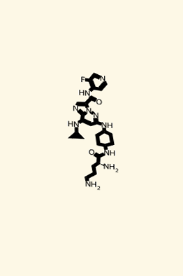 NCCC[C@@H](N)C(=O)NC1CCC(Nc2cc(NC3CC3)c3ncc(C(=O)Nc4ccncc4F)n3n2)CC1